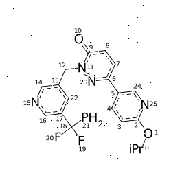 CC(C)Oc1ccc(-c2ccc(=O)n(Cc3cncc(C(F)(F)P)c3)n2)cn1